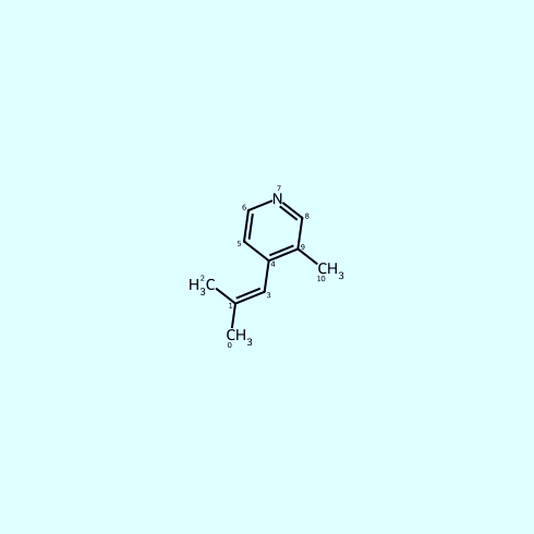 CC(C)=Cc1ccncc1C